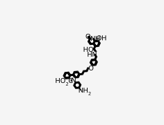 N[C@H]1CC[C@H](N(C(=O)O)c2cc(CCCCOc3ccc(CNCC(O)c4ccc(O)c5[nH]c(=O)ccc45)cc3)ccc2-c2ccccc2)CC1